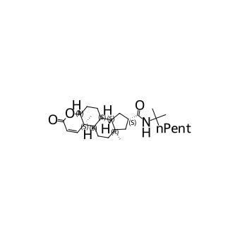 CCCCCC(C)(C)NC(=O)[C@H]1C[C@H]2[C@@H]3CC[C@H]4OC(=O)C=C[C@]4(C)[C@H]3CC[C@]2(C)C1